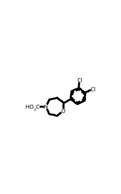 O=C(O)N1CCOC(c2ccc(Cl)c(Cl)c2)CC1